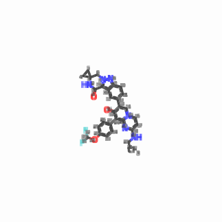 O=C1NC2(CC2)Cn2nc3ccc(-c4cn5ccc(NCC(F)(F)F)nc5c(-c5ccc(OC(F)F)cc5)c4=O)cc3c21